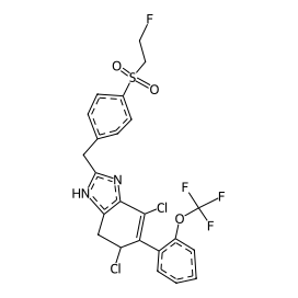 O=S(=O)(CCF)c1ccc(Cc2nc3c([nH]2)CC(Cl)C(c2ccccc2OC(F)(F)F)=C3Cl)cc1